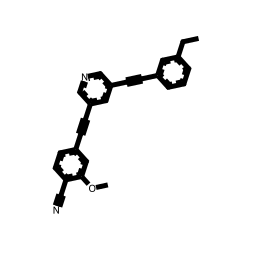 CCc1cccc(C#Cc2cncc(C#Cc3ccc(C#N)c(OC)c3)c2)c1